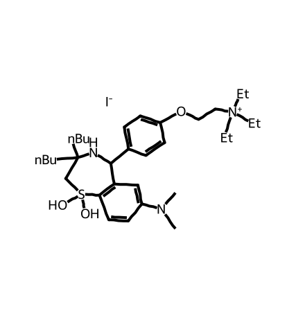 CCCCC1(CCCC)CS(O)(O)c2ccc(N(C)C)cc2C(c2ccc(OCC[N+](CC)(CC)CC)cc2)N1.[I-]